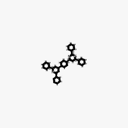 c1ccc(-c2cc(-c3ccc(-c4cc(-c5ccccc5)nc(-c5ccccc5)n4)cc3)cc(-c3ccccc3)n2)cc1